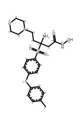 Cc1ccc(Sc2ccc(S(=O)(=O)C(N)(CCN3CCOCC3)CC(=O)NO)cc2)cc1